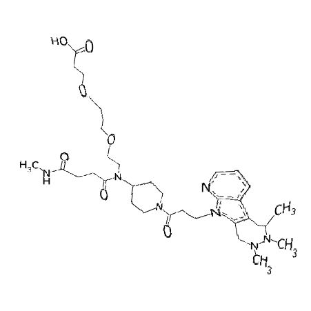 CNC(=O)CCC(=O)N(CCOCCOCCC(=O)O)C1CCN(C(=O)CCn2c3c(c4cccnc42)C(C)N(C)N(C)C3)CC1